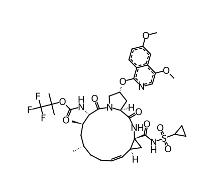 COc1ccc2c(O[C@@H]3C[C@H]4C(=O)N[C@]5(C(=O)NS(=O)(=O)C6CC6)C[C@H]5/C=C\CC[C@H](C)C[C@@H](C)[C@H](NC(=O)OC(C)(C)C(F)(F)F)C(=O)N4C3)ncc(OC)c2c1